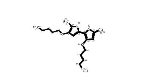 CCCCCOc1cc(-c2sc(C)cc2OCCCCC)sc1C